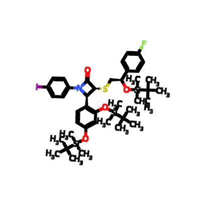 CC(C)(C)[Si](C)(C)Oc1ccc([C@@H]2[C@@H](SC[C@H](O[Si](C)(C)C(C)(C)C)c3ccc(F)cc3)C(=O)N2c2ccc(I)cc2)c(O[Si](C)(C)C(C)(C)C)c1